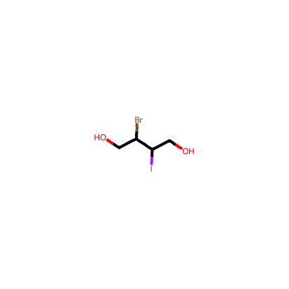 OCC(Br)C(I)CO